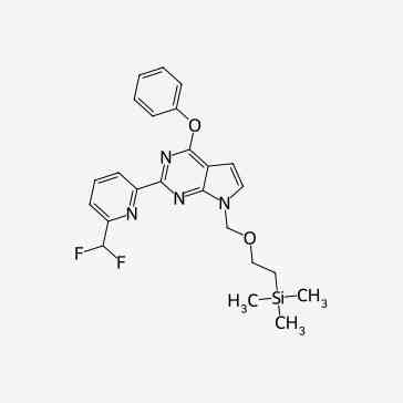 C[Si](C)(C)CCOCn1ccc2c(Oc3ccccc3)nc(-c3cccc(C(F)F)n3)nc21